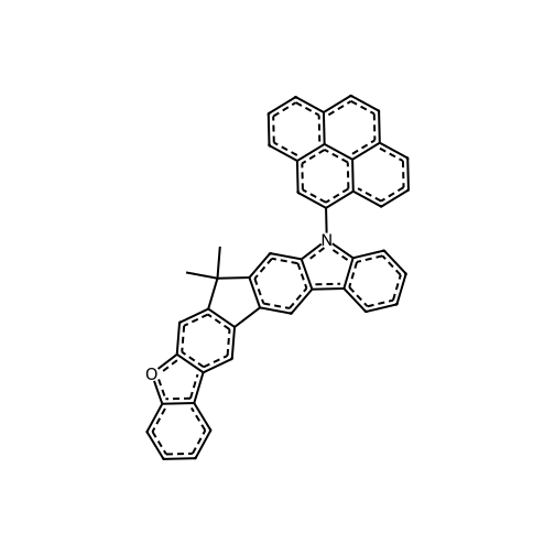 CC1(C)c2cc3oc4ccccc4c3cc2-c2cc3c4ccccc4n(-c4cc5cccc6ccc7cccc4c7c65)c3cc21